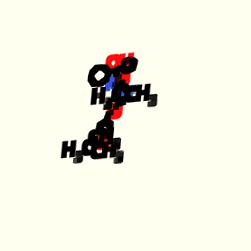 CC(C)(C)Oc1ccc(COCC[N+](C)(C)Cc2cnc([C@](O)(c3ccccc3)C3CCCCCCC3)o2)cc1